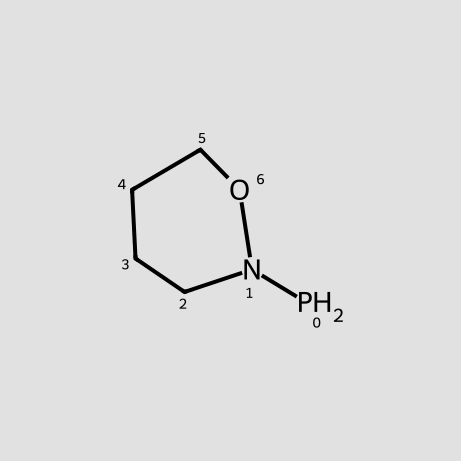 PN1CCCCO1